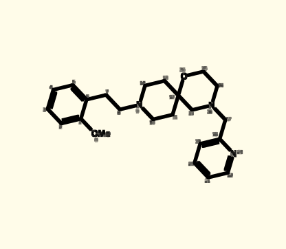 COc1ccccc1CCN1CCC2(CC1)CN(Cc1ccccn1)CCO2